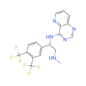 CNCC(Nc1ncnc2cccnc12)c1ccc(C(F)(F)F)c(C(F)(F)F)c1